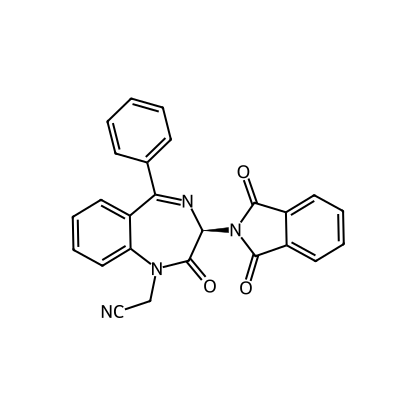 N#CCN1C(=O)[C@H](N2C(=O)c3ccccc3C2=O)N=C(c2ccccc2)c2ccccc21